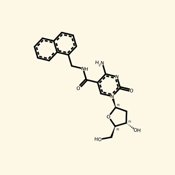 Nc1nc(=O)n([C@H]2C[C@H](O)[C@@H](CO)O2)cc1C(=O)NCc1cccc2ccccc12